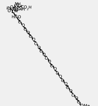 COCCOCCOCCOCCOCCOCCOCCOCCOCCOCCOCCOCCOCCOCCOCCOCCOCCOCCOCCOCCOCCOCCOCCOCCC(=O)NCCCCC(NC(=O)C(CN)NC(=O)C(CC(=O)O)[SiH2]C(C)C)C(=O)C(C)C